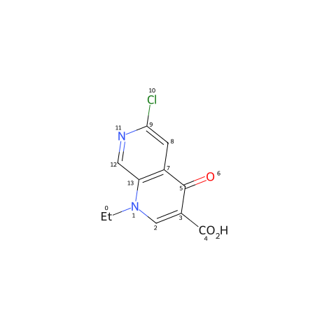 CCn1cc(C(=O)O)c(=O)c2cc(Cl)ncc21